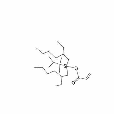 C=CC(=O)O[Si](CC(CC)CCCC)(CC(CC)CCCC)C(C)(C)C(C)C